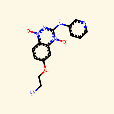 NCCOc1ccc2c(c1)[n+]([O-])c(Nc1cccnc1)n[n+]2[O-]